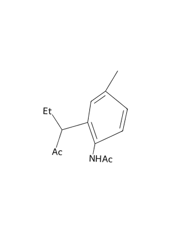 CCC(C(C)=O)c1cc(C)ccc1NC(C)=O